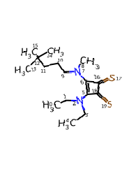 CCN(CC)c1c(N(C)CCCC(C)(C)C)c(=S)c1=S